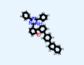 c1ccc(C2=NC(c3cccc4oc5c(-c6ccc(-c7ccc8ccccc8c7)cc6)cccc5c34)NC(c3ccccc3)=N2)cc1